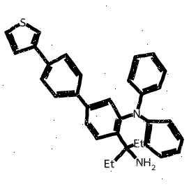 CCC(N)(CC)c1ccc(-c2ccc(-c3ccsc3)cc2)cc1N(c1ccccc1)c1ccccc1